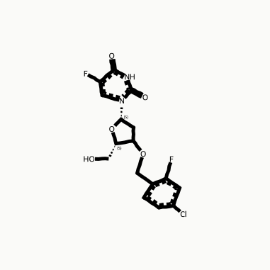 O=c1[nH]c(=O)n([C@@H]2CC(OCc3ccc(Cl)cc3F)[C@H](CO)O2)cc1F